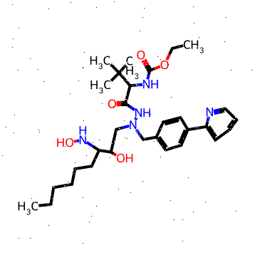 CCCCCCC(NO)C(O)CN(Cc1ccc(-c2ccccn2)cc1)NC(=O)C(NC(=O)OCC)C(C)(C)C